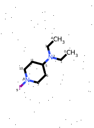 CCN(CC)C1CCN(I)CC1